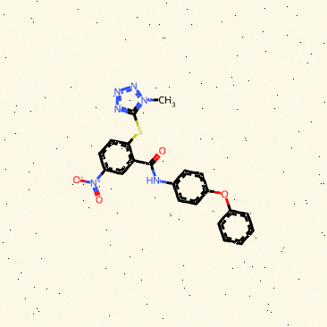 Cn1nnnc1Sc1ccc([N+](=O)[O-])cc1C(=O)Nc1ccc(Oc2ccccc2)cc1